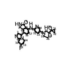 O=C1NCc2c(-c3cnc4cc(F)ccn34)ccc(Nc3ccc(N4CCOC(C5(O)CC5)C4)cn3)c21